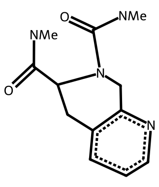 CNC(=O)C1Cc2cccnc2CN1C(=O)NC